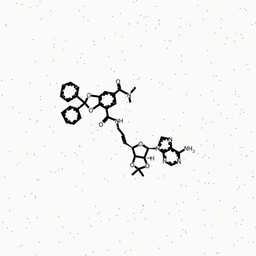 CN(C)C(=O)c1cc2c(c(C(=O)NC/C=C/[C@H]3O[C@@H](n4cnc5c(N)ncnc54)[C@H]4OC(C)(C)OC34)c1)OC(c1ccccc1)(c1ccccc1)O2